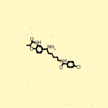 CC1Oc2ccc(C(N)CCCCCNC(=O)c3ccc(Cl)cc3)cc2NC1=O